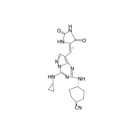 N#C[C@H]1CC[C@H](Nc2nc(NC3CC3)n3ncc(/C=C4\NC(=O)NC4=O)c3n2)CC1